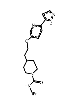 CC(C)NC(=O)N1CCC(CCOc2ccc(-c3ccn[nH]3)nc2)CC1